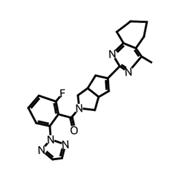 Cc1nc(C2=CC3CN(C(=O)c4c(F)cccc4-n4nccn4)CC3C2)nc2c1CCCC2